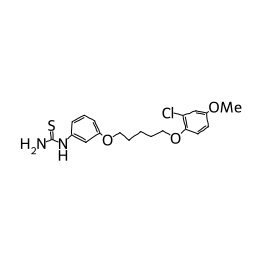 COc1ccc(OCCCCCOc2cccc(NC(N)=S)c2)c(Cl)c1